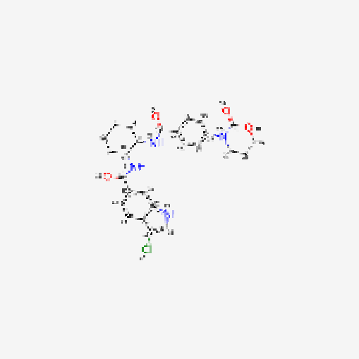 O=C(NC1CCCC[C@H]1NC(=O)c1ccc2c(Cl)c[nH]c2c1)c1ccc(N2CCCOC2=O)cc1